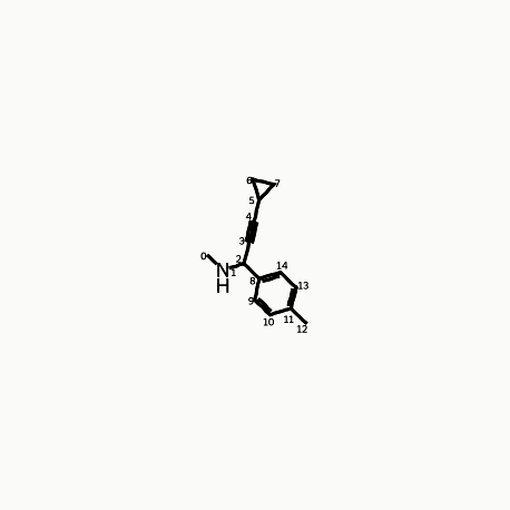 CNC(C#CC1CC1)c1ccc(C)cc1